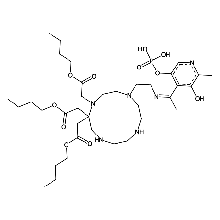 CCCCOC(=O)CN1CCN(CCN=C(C)c2c(OP(=O)(O)O)cnc(C)c2O)CCNCCNCC1(CC(=O)OCCCC)CC(=O)OCCCC